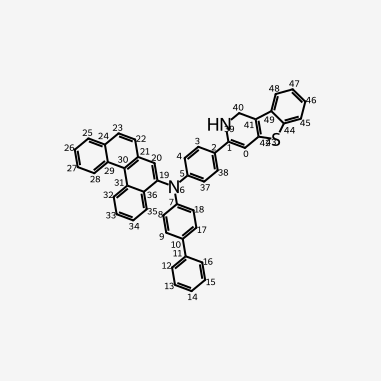 C1=C(c2ccc(N(c3ccc(-c4ccccc4)cc3)c3cc4ccc5ccccc5c4c4ccccc34)cc2)NCc2c1sc1ccccc21